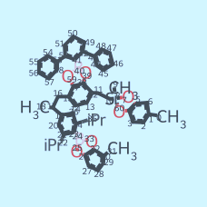 Cc1ccc2c(c1)O[Si](C)(CCc1ccc(CC(C)c3cc(C(C)C)c(B4Oc5cccc(C)c5O4)c(C(C)C)c3)c3c1OB(c1c(-c4ccccc4)cccc1-c1ccccc1)O3)O2